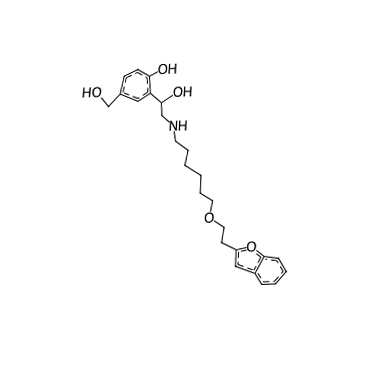 OCc1ccc(O)c(C(O)CNCCCCCCOCCc2cc3ccccc3o2)c1